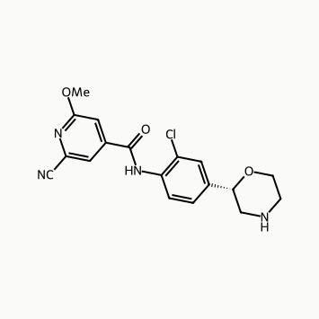 COc1cc(C(=O)Nc2ccc([C@H]3CNCCO3)cc2Cl)cc(C#N)n1